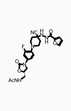 CC(=O)NC[C@H]1CN(c2ccc(N3CCC(C#N)(NNC(=O)c4ccco4)CC3)c(F)c2)C(=O)O1